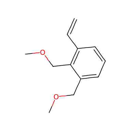 C=Cc1cccc(COC)c1COC